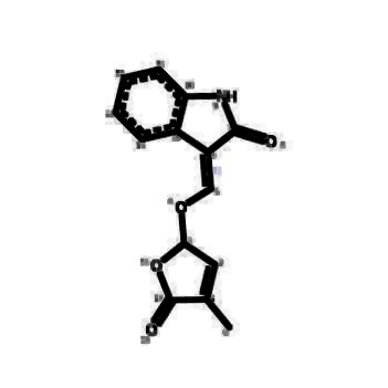 CC1=CC(O/C=C2/C(=O)Nc3ccccc32)OC1=O